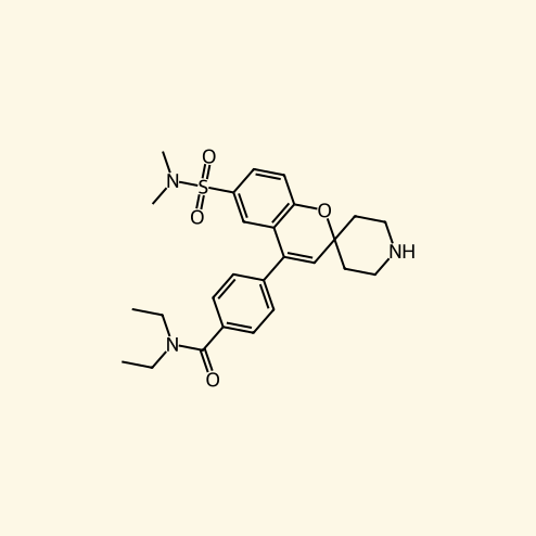 CCN(CC)C(=O)c1ccc(C2=CC3(CCNCC3)Oc3ccc(S(=O)(=O)N(C)C)cc32)cc1